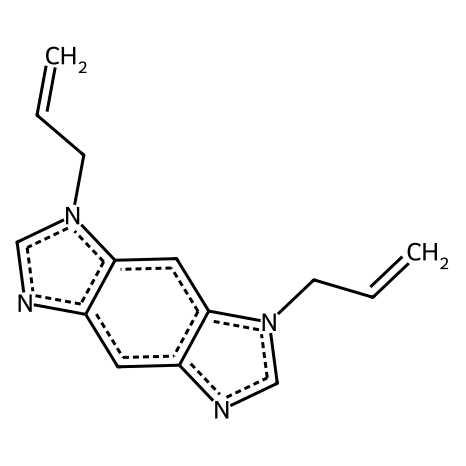 C=CCn1cnc2cc3ncn(CC=C)c3cc21